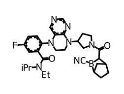 CCN(C(=O)c1cc(F)ccc1N1CCN(C2CCN(C(=O)C3B(C#N)C4CCC3C4)C2)c2ncncc21)C(C)C